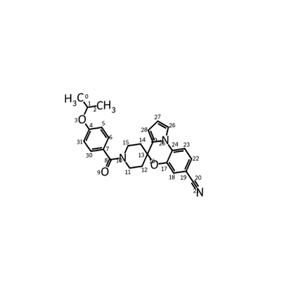 CC(C)Oc1ccc(C(=O)N2CCC3(CC2)Oc2cc(C#N)ccc2-n2cccc23)cc1